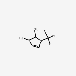 CC1N(C)N=CN1C(F)(F)C(F)(F)F